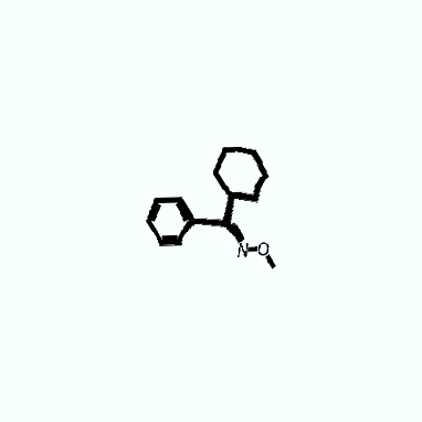 CO/N=C(/c1ccccc1)C1CCCCC1